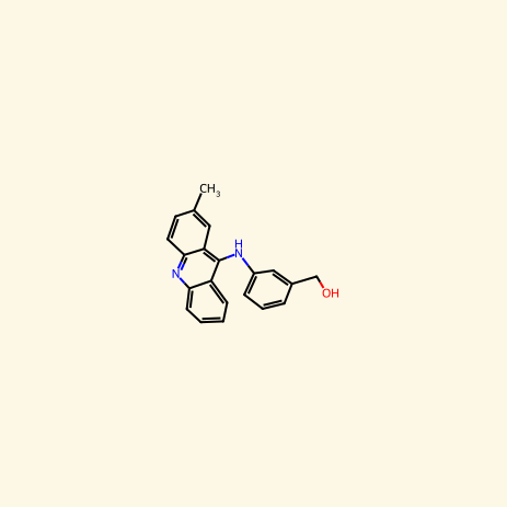 Cc1ccc2nc3ccccc3c(Nc3cccc(CO)c3)c2c1